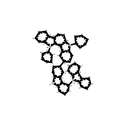 c1ccc(-n2c3ccc(-c4ccc5oc6cccc(-n7c8ccccc8c8ccccc87)c6c5c4)cc3c3c2ccc2c4ccccc4n(-c4ccccc4)c23)cc1